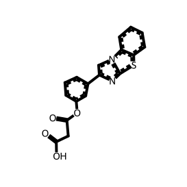 O=C(O)CC(=O)Oc1cccc(-c2cn3c(n2)sc2ccccc23)c1